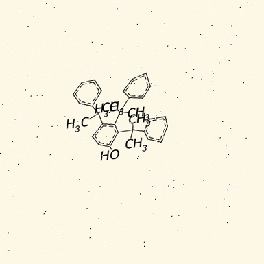 CC(C)(c1ccccc1)c1ccc(O)c(C(C)(C)c2ccccc2)c1C(C)(C)c1ccccc1